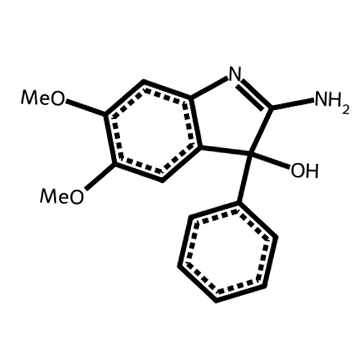 COc1cc2c(cc1OC)C(O)(c1ccccc1)C(N)=N2